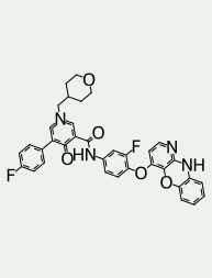 O=C(Nc1ccc(Oc2ccnc3c2Oc2ccccc2N3)c(F)c1)c1cn(CC2CCOCC2)cc(-c2ccc(F)cc2)c1=O